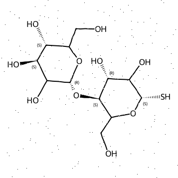 OCC1O[C@H](O[C@@H]2C(CO)O[C@@H](S)C(O)[C@H]2O)C(O)[C@@H](O)[C@@H]1O